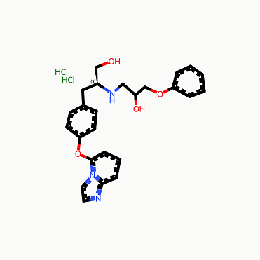 Cl.Cl.OC[C@H](Cc1ccc(Oc2cccc3nccn23)cc1)NCC(O)COc1ccccc1